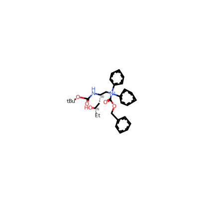 CC[C@H](O)C[C@@H](C[N+](C(=O)OCc1ccccc1)(c1ccccc1)c1ccccc1)NC(=O)OC(C)(C)C